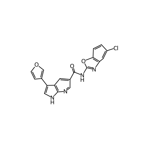 O=C(Nc1nc2cc(Cl)ccc2o1)c1cnc2[nH]cc(-c3ccoc3)c2c1